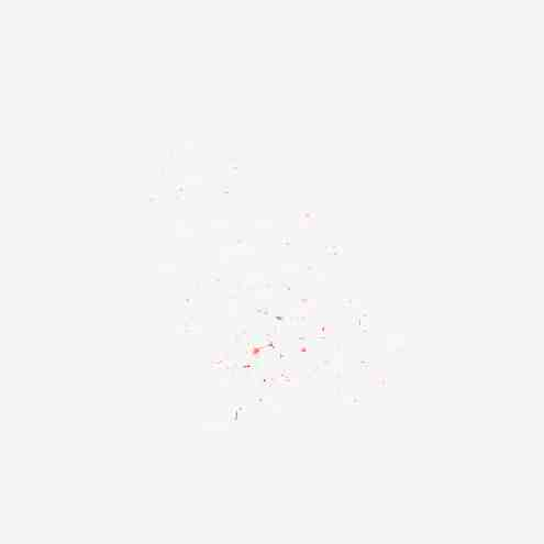 CC1C(O)[C@H](O[C@@H]2OC(CO)[C@H](O)C(O)[C@@H]2O)[C@H](CO)O[C@H]1O[C@@H]1C(O)[C@H](O)C(CO)O[C@@H]1OCC1O[C@@H](O[C@@H]2C(CO)O[C@@H](O[C@@H]3C(CO)O[C@@H](NC(=O)CBr)[C@@H](C)C3O)[C@@H](C)C2O)C(O)C(O[C@H]2O[C@H](CO)[C@@H](O)C(O)C2O[C@@H]2OC(CO)[C@@H](O[C@@H]3OC(CO)[C@H](O)C(O)[C@@H]3O)C(O)[C@@H]2C)[C@@H]1O